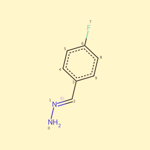 N/N=C/c1ccc(F)cc1